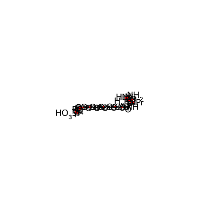 CCCN(OCCNC(=O)OCCOCCOCCOCCOCCOCCOCCOCCOCCOCCOCCC(=O)Oc1c(F)c(F)c(S(=O)(=O)O)c(F)c1F)C(=O)C1=CC(N)=C(C=N)N=C(N)C1